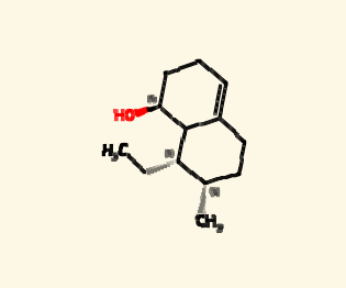 CC[C@@H]1C2C(=CCC[C@@H]2O)CC[C@@H]1C